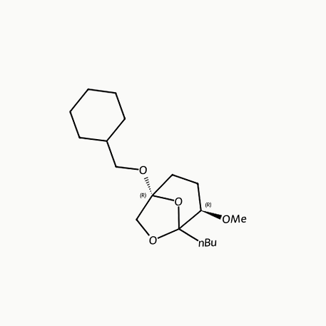 CCCCC12OC[C@@](OCC3CCCCC3)(CC[C@H]1OC)O2